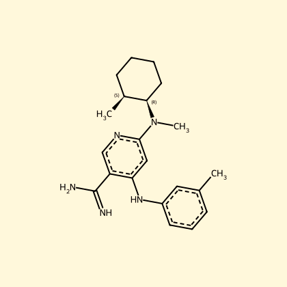 Cc1cccc(Nc2cc(N(C)[C@@H]3CCCC[C@@H]3C)ncc2C(=N)N)c1